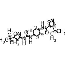 CC(C)c1nnsc1C(=O)Nc1ccc(NC(=O)Nc2cc(C(C)(C)C)on2)cc1